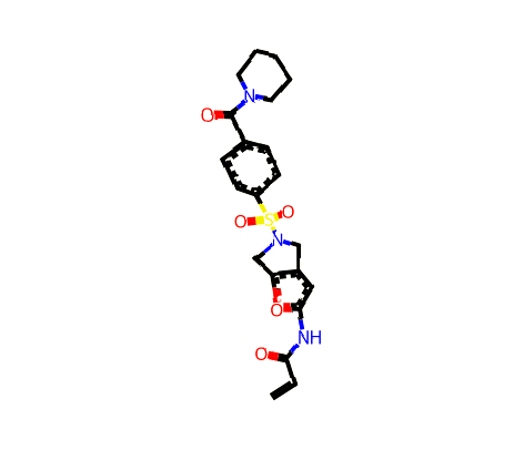 C=CC(=O)Nc1cc2c(o1)CN(S(=O)(=O)c1ccc(C(=O)N3CCCCC3)cc1)C2